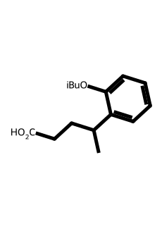 CC(C)COc1ccccc1C(C)CCC(=O)O